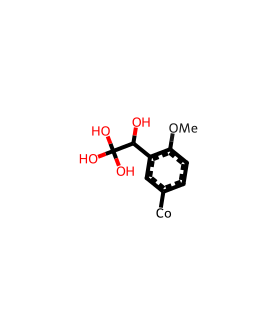 COc1cc[c]([Co])cc1C(O)C(O)(O)O